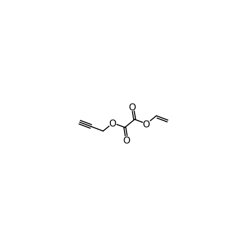 C#CCOC(=O)C(=O)OC=C